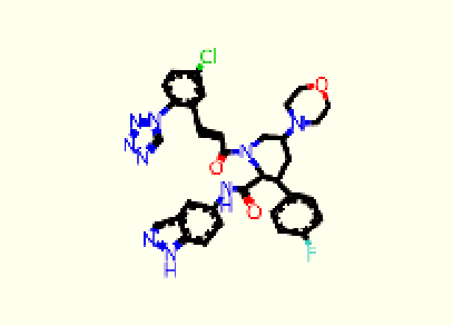 O=C(Nc1ccc2[nH]ncc2c1)C1C(c2ccc(F)cc2)CC(N2CCOCC2)CN1C(=O)C=Cc1cc(Cl)ccc1-n1cnnn1